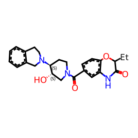 CCC1Oc2ccc(C(=O)N3CC[C@H](N4CCc5ccccc5C4)[C@@H](O)C3)cc2NC1=O